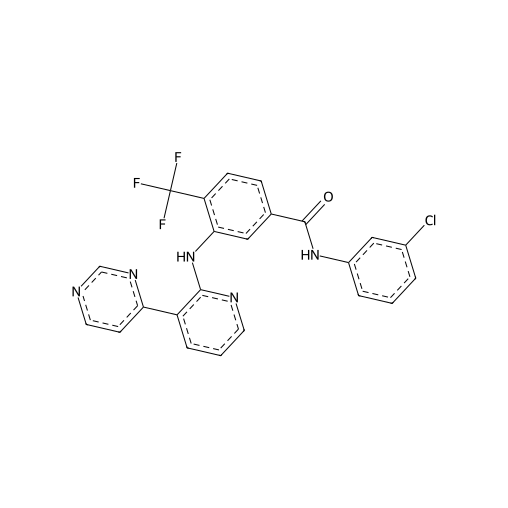 O=C(Nc1cccc(Cl)c1)c1ccc(C(F)(F)F)c(Nc2ncccc2-c2ccncn2)c1